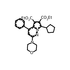 CCOC(=O)c1c(C(=O)OCC)c2c(-c3ccccc3)cc(N3CCOCC3)nn2c1C1CCCC1